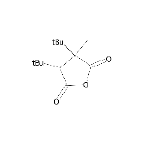 CC(C)(C)C1C(=O)OC(=O)C1(C)C(C)(C)C